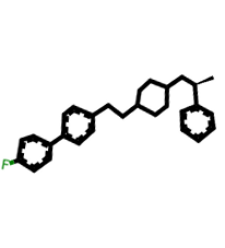 C[C@H](CC1CCC(CCc2ccc(-c3ccc(F)cc3)cc2)CC1)c1ccccc1